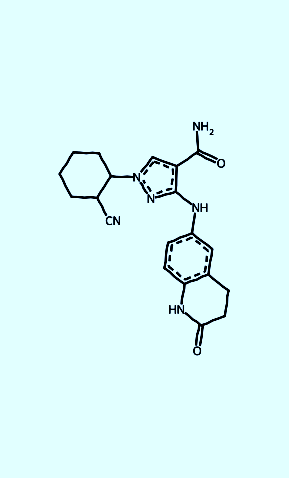 N#CC1CCCCC1n1cc(C(N)=O)c(Nc2ccc3c(c2)CCC(=O)N3)n1